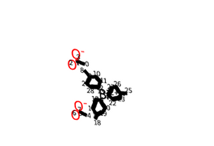 CC(=O)[O-].CC(=O)[O-].Cc1cc[c]([Bi+2]([c]2ccc(C)cc2)[c]2ccc(C)cc2)cc1